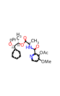 CCCO[C@@H](c1ccccc1)[C@H](C)OC(=O)[C@H](C)NC(=O)c1nccc(OC)c1OC(C)=O